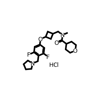 CN(CC1CC(Oc2cc(F)c(CN3CCCC3)c(F)c2)C1)C(=O)C1CCOCC1.Cl